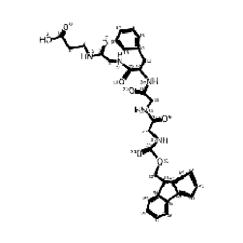 O=C(O)CCNC(=O)CNC(=O)C(Cc1ccccc1)NC(=O)CNC(=O)CNC(=O)OCC1c2ccccc2-c2ccccc21